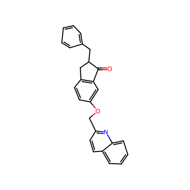 O=C1c2cc(OCc3ccc4ccccc4n3)ccc2CC1Cc1ccccc1